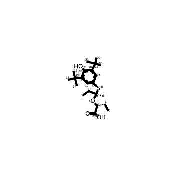 CC[C@@H](O[C@@](C)(CC)Sc1cc(C(C)(C)C)c(O)c(C(C)(C)C)c1)C(=O)O